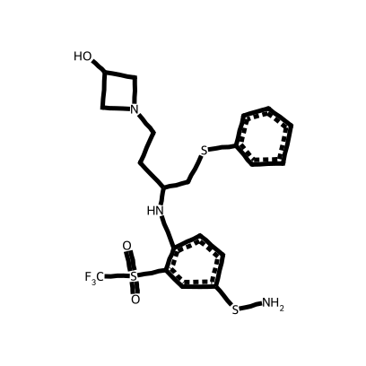 NSc1ccc(NC(CCN2CC(O)C2)CSc2ccccc2)c(S(=O)(=O)C(F)(F)F)c1